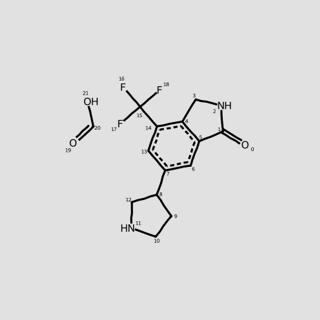 O=C1NCc2c1cc(C1CCNC1)cc2C(F)(F)F.O=CO